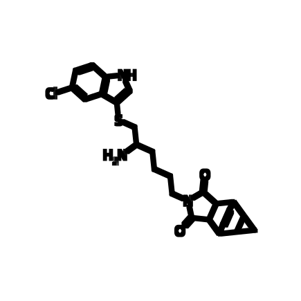 NC(CCCCN1C(=O)C2C3C=CC(C4CC34)C2C1=O)CSc1c[nH]c2ccc(Cl)cc12